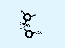 O=C(O)c1cccc(NS(=O)(=O)c2cc(F)cc(F)c2)c1